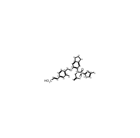 C=C(C)CN(c1cc2c(cc1OCc1ccc(C=CC(=O)O)cc1C)CCC2)S(=O)(=O)c1nc(C)cs1